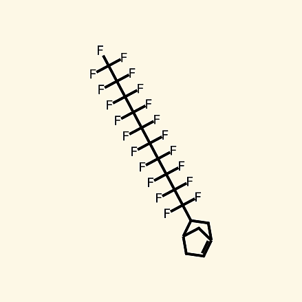 FC(F)(F)C(F)(F)C(F)(F)C(F)(F)C(F)(F)C(F)(F)C(F)(F)C(F)(F)C(F)(F)C(F)(F)C1CC2=CCC1C2